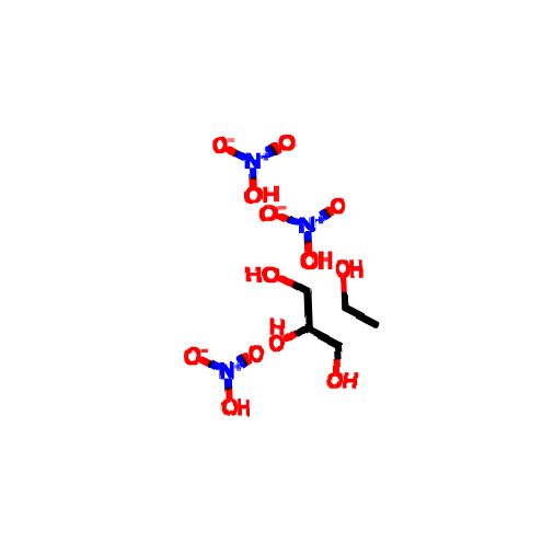 CCO.O=[N+]([O-])O.O=[N+]([O-])O.O=[N+]([O-])O.OCC(O)CO